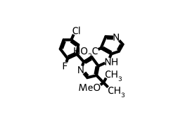 COC(C)(C)c1cnc(-c2cc(Cl)ccc2F)cc1Nc1ccncc1C(=O)O